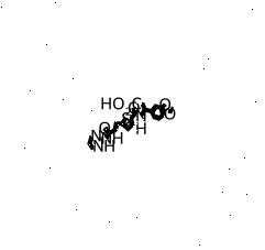 O=C(O)CC(NC(=O)c1ccc(/C=C/C(=O)NC2=NCCCN2)s1)c1ccc2c(c1)OCO2